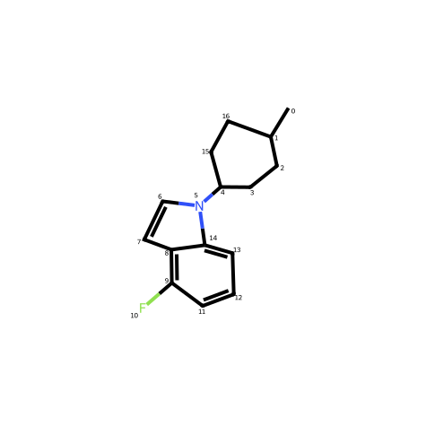 CC1CCC(n2ccc3c(F)cccc32)CC1